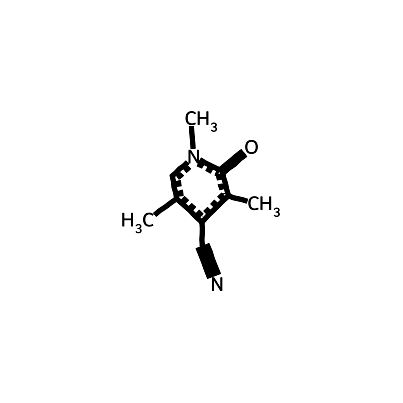 Cc1cn(C)c(=O)c(C)c1C#N